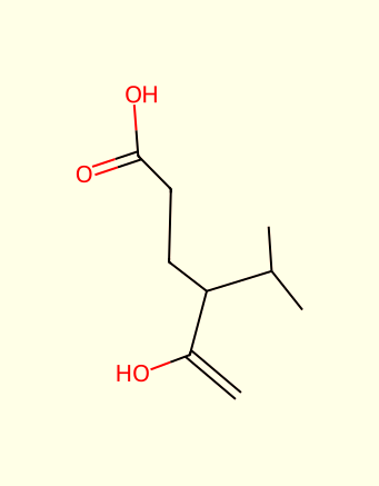 C=C(O)C(CCC(=O)O)C(C)C